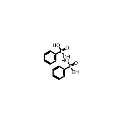 O=P(O)(O)c1ccccc1.O=P(O)(O)c1ccccc1